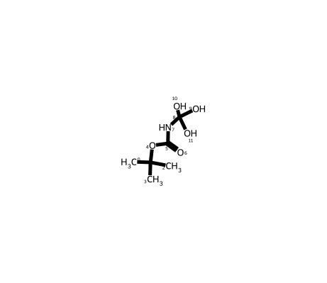 CC(C)(C)OC(=O)NC(O)(O)O